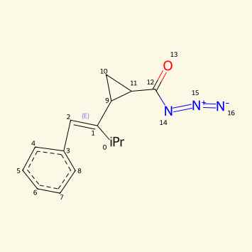 CC(C)/C(=C\c1ccccc1)C1CC1C(=O)N=[N+]=[N-]